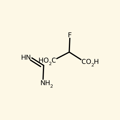 N=CN.O=C(O)C(F)C(=O)O